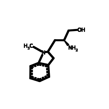 CN1c2ccccc2CC1C[C@H](N)CO